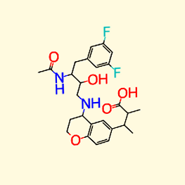 CC(=O)NC(Cc1cc(F)cc(F)c1)C(O)CNC1CCOc2ccc(C(C)C(C)C(=O)O)cc21